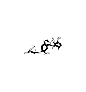 COc1cc2c(Nc3c(F)ccc(O)c3C)ncnc2cc1OCCN(C)C(C)C